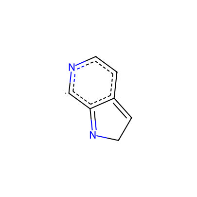 [c]1nccc2c1=NCC=2